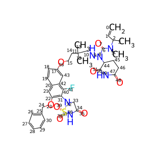 C=CC(C)N(C)C(=O)N(NCC(C)(C)CCOc1ccc2cc(OCc3ccccc3)c(N3CC(=O)NS3(=O)=O)c(F)c2c1)C1CCC(=O)NC1=O